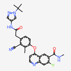 CNC(=O)c1cc2c(Oc3ccc(CC(=O)Nc4cnn(C(C)(C)C)c4)c(C#N)c3C)ccnc2cc1F